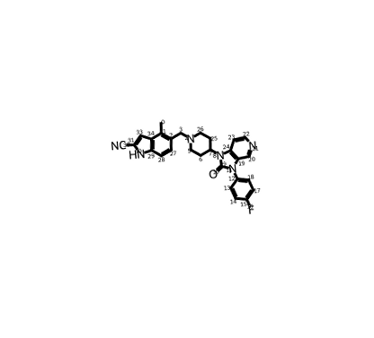 Cc1c(CN2CCC(n3c(=O)n(-c4ccc(F)cc4)c4cnccc43)CC2)ccc2[nH]c(C#N)cc12